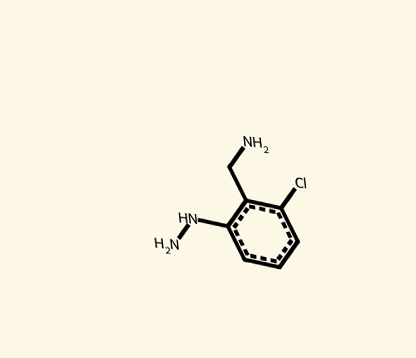 NCc1c(Cl)cccc1NN